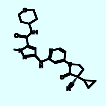 Cn1nc(Nc2cc(N3CC[C@@](C#N)(C4CC4)C3=O)ccn2)cc1C(=O)NC1CCOCC1